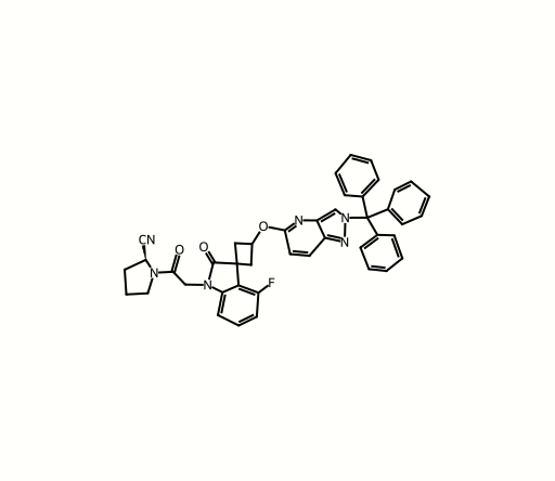 N#C[C@@H]1CCCN1C(=O)CN1C(=O)C2(CC(Oc3ccc4nn(C(c5ccccc5)(c5ccccc5)c5ccccc5)cc4n3)C2)c2c(F)cccc21